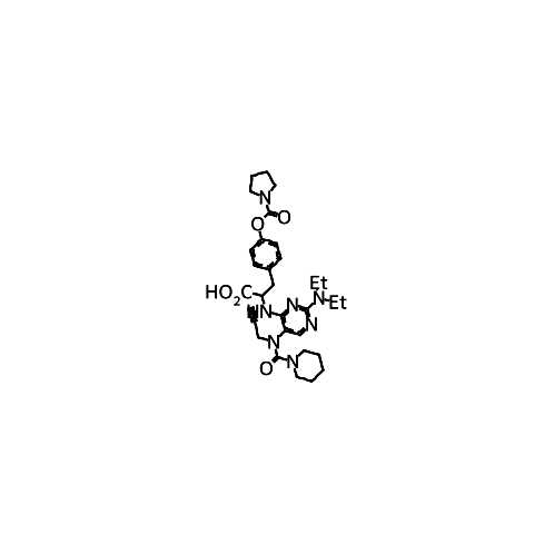 C#CCN(C(=O)N1CCCCC1)c1cnc(N(CC)CC)nc1NC(Cc1ccc(OC(=O)N2CCCC2)cc1)C(=O)O